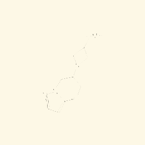 COC1CN(C2COc3ccnn3C2)C1